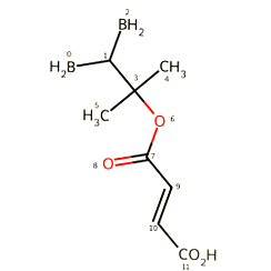 BC(B)C(C)(C)OC(=O)/C=C/C(=O)O